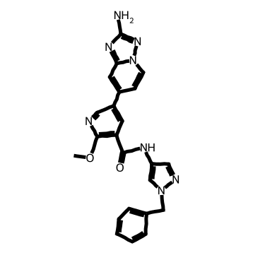 COc1ncc(-c2ccn3nc(N)nc3c2)cc1C(=O)Nc1cnn(Cc2ccccc2)c1